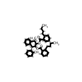 CCCCc1ccccc1C(=O)OC1C(OC(=O)c2ccccc2CCCC)[C@@H](C)c2ccccc2[C@@H]1c1ccccc1C